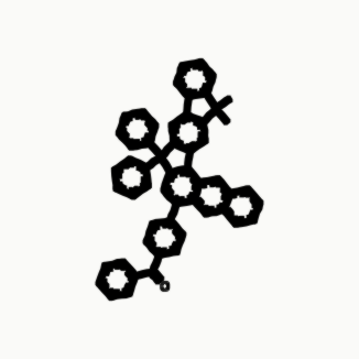 CC1(C)c2ccccc2-c2cc3c(cc21)-c1c(cc(-c2ccc(C(=O)c4ccccc4)cc2)c2cc4ccccc4cc12)C3(c1ccccc1)c1ccccc1